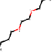 [CH2]CCCOCCOCCC